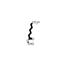 O=COC(=O)CCCCCC(=O)O